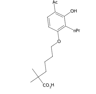 CCCc1c(OCCCCC(C)(C)C(=O)O)ccc(C(C)=O)c1O